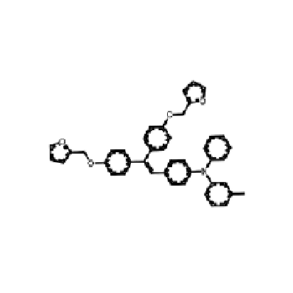 Cc1cccc(N(c2ccccc2)c2ccc(C=C(c3ccc(OCc4ccco4)cc3)c3ccc(OCc4ccco4)cc3)cc2)c1